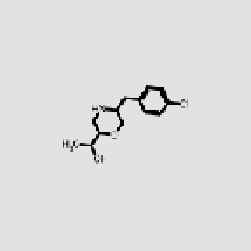 CC(O)C1CNC(Cc2ccc(Cl)cc2)CO1